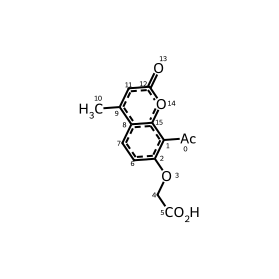 CC(=O)c1c(OCC(=O)O)ccc2c(C)cc(=O)oc12